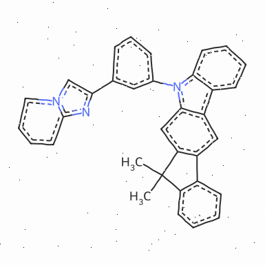 CC1(C)c2ccccc2-c2cc3c4ccccc4n(-c4cccc(-c5cn6ccccc6n5)c4)c3cc21